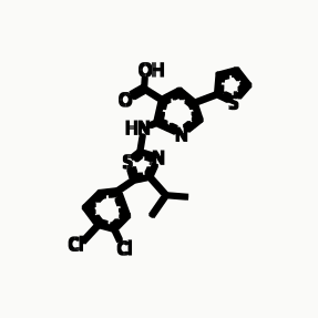 CC(C)c1nc(Nc2ncc(-c3cccs3)cc2C(=O)O)sc1-c1ccc(Cl)c(Cl)c1